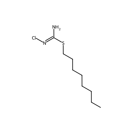 CCCCCCCCSC(N)=NCl